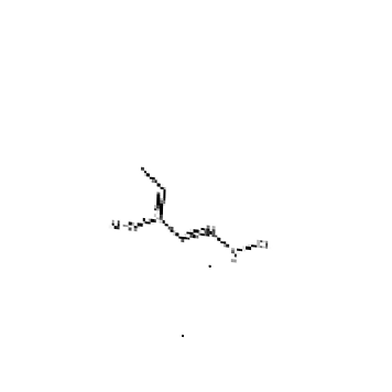 CC=C(C=NNCC)OC